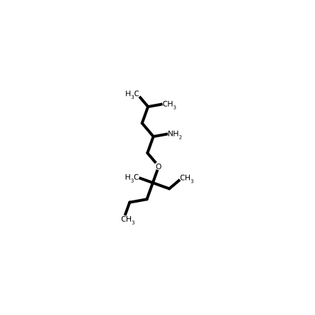 CCCC(C)(CC)OCC(N)CC(C)C